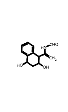 C=C(NC=O)C1c2ccccc2C(O)CC1O